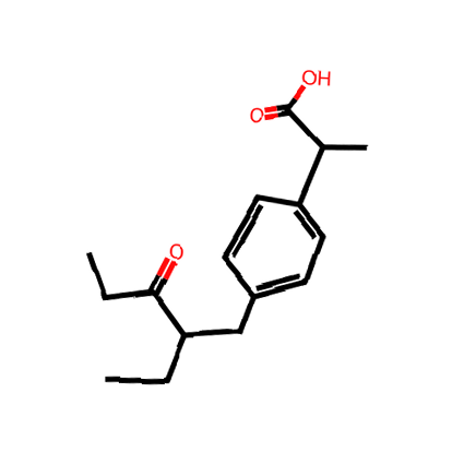 CCC(=O)C(CC)Cc1ccc(C(C)C(=O)O)cc1